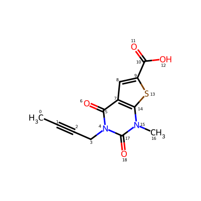 CC#CCn1c(=O)c2cc(C(=O)O)sc2n(C)c1=O